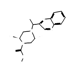 CC[C@H]1CN(C(C)c2cnc3ccccc3n2)[C@H](CC)CN1C(=O)OC(C)(C)C